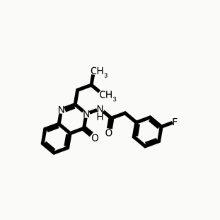 CC(C)Cc1nc2ccccc2c(=O)n1NC(=O)Cc1cccc(F)c1